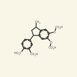 CC1CC(c2ccc(C(=O)O)c(C(=O)O)c2)c2cc(OC(=O)O)c(OC(=O)O)cc21